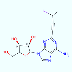 CC(I)C#Cc1nc(N)c2ncn(C3OC(CO)[C@@H](O)[C@H]3O)c2n1